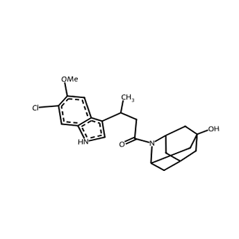 COc1cc2c(C(C)CC(=O)N3C4CC5CC3CC(O)(C5)C4)c[nH]c2cc1Cl